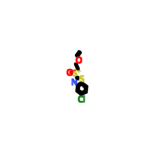 C=COCC[S+]([O-])c1nc2cc(Cl)ccc2s1